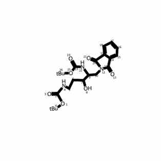 CC(C)(C)OC(=O)NCCC(O)C(CN1C(=O)c2ccccc2C1=O)NC(=O)OC(C)(C)C